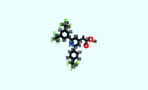 COC(=O)Cc1cc(-c2ccc(C(F)(F)F)cc2)nc(-c2cc(C(F)(F)F)cc(C(F)(F)F)c2)c1